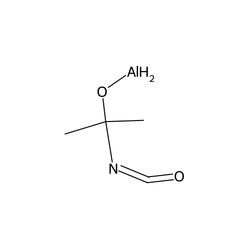 CC(C)(N=C=O)[O][AlH2]